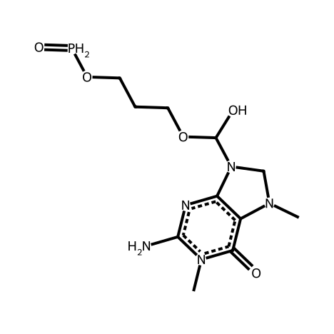 CN1CN(C(O)OCCCO[PH2]=O)c2nc(N)n(C)c(=O)c21